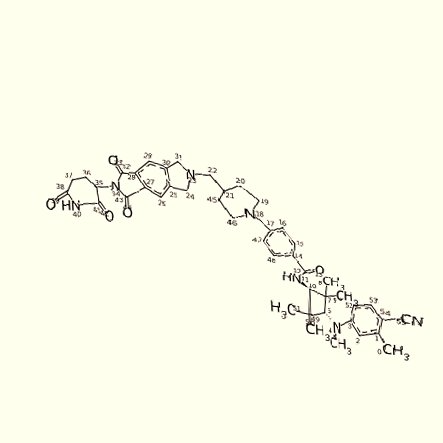 Cc1cc(N(C)[C@H]2C(C)(C)[C@H](NC(=O)c3ccc(N4CCC(CN5Cc6cc7c(cc6C5)C(=O)N(C5CCC(=O)NC5=O)C7=O)CC4)cc3)C2(C)C)ccc1C#N